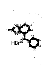 Br.Cc1nc2c(C(=O)c3ccccc3)cccc2s1